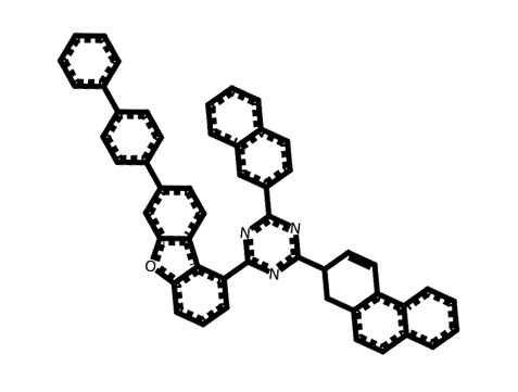 C1=CC(c2nc(-c3ccc4ccccc4c3)nc(-c3cccc4oc5cc(-c6ccc(-c7ccccc7)cc6)ccc5c34)n2)Cc2ccc3ccccc3c21